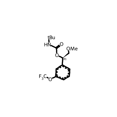 COC[C@H](OC(=O)NC(C)(C)C)c1cccc(OC(F)(F)F)c1